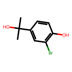 CC(C)(O)c1ccc(O)c(Br)c1